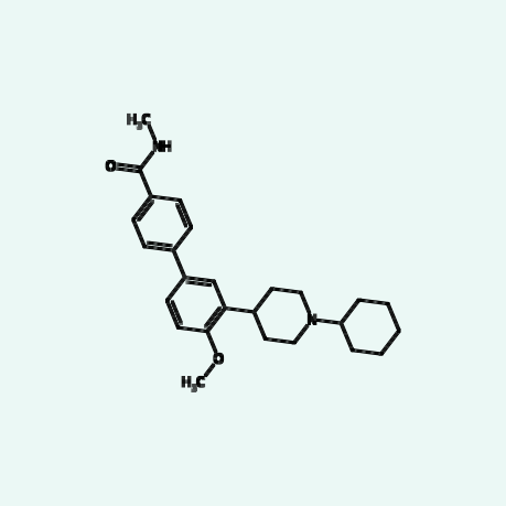 CNC(=O)c1ccc(-c2ccc(OC)c(C3CCN(C4CCCCC4)CC3)c2)cc1